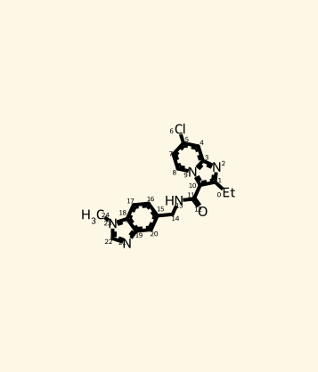 CCc1nc2cc(Cl)ccn2c1C(=O)NCc1ccc2c(c1)ncn2C